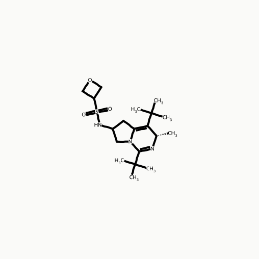 C[C@@H]1N=C(C(C)(C)C)N2CC(NS(=O)(=O)C3COC3)CC2=C1C(C)(C)C